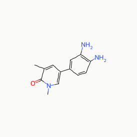 Cc1cc(-c2ccc(N)c(N)c2)cn(C)c1=O